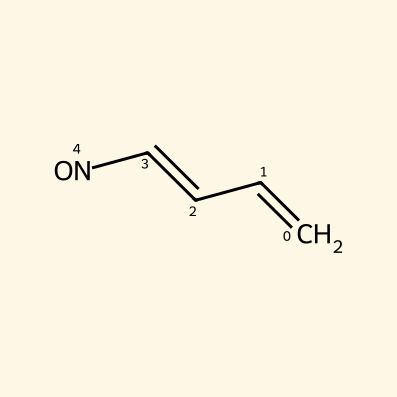 C=CC=CN=O